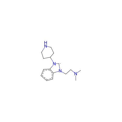 CN(C)CCN1[CH]N(C2CCNCC2)c2ccccc21